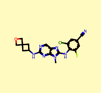 Cn1c(Nc2c(F)cc(C#N)cc2Cl)nc2cnc(NC3CC4(COC4)C3)nc21